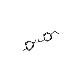 CCc1ccc(COc2ccc(C)cc2)cc1